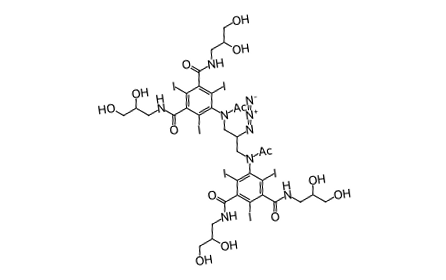 CC(=O)N(CC(CN(C(C)=O)c1c(I)c(C(=O)NCC(O)CO)c(I)c(C(=O)NCC(O)CO)c1I)N=[N+]=[N-])c1c(I)c(C(=O)NCC(O)CO)c(I)c(C(=O)NCC(O)CO)c1I